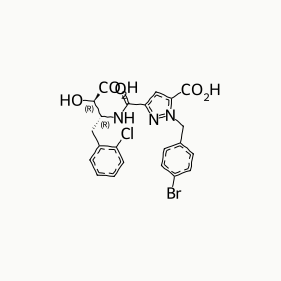 O=C(N[C@H](Cc1ccccc1Cl)[C@@H](O)C(=O)O)c1cc(C(=O)O)n(Cc2ccc(Br)cc2)n1